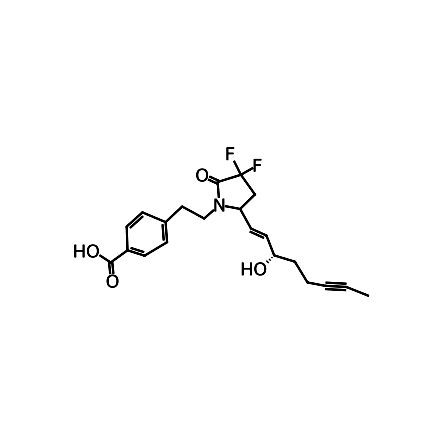 CC#CCC[C@H](O)/C=C/C1CC(F)(F)C(=O)N1CCc1ccc(C(=O)O)cc1